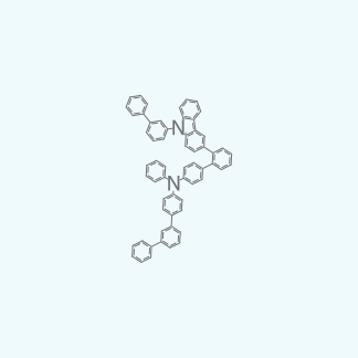 c1ccc(-c2cccc(-c3ccc(N(c4ccccc4)c4ccc(-c5ccccc5-c5ccc6c(c5)c5ccccc5n6-c5cccc(-c6ccccc6)c5)cc4)cc3)c2)cc1